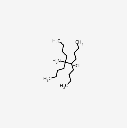 CCCCC(CCCC)C(N)(CCCC)CCCC.Cl